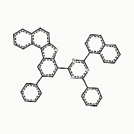 c1ccc(-c2cc(-c3nc(-c4ccccc4)nc(-c4cccc5ccccc45)n3)c3sc4ccc5ccccc5c4c3c2)cc1